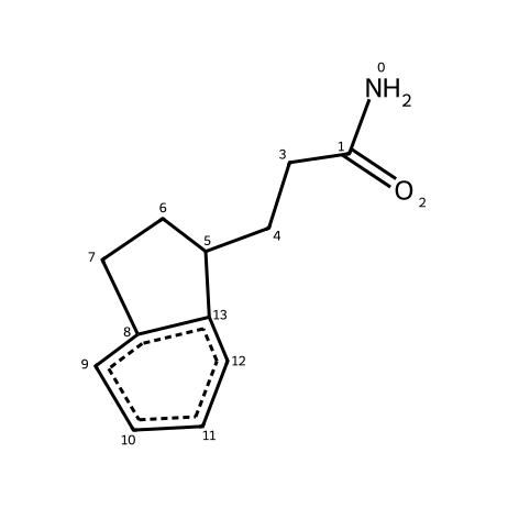 NC(=O)CCC1CCc2ccccc21